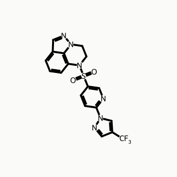 O=S(=O)(c1ccc(-n2cc(C(F)(F)F)cn2)nc1)N1CCn2ncc3cccc1c32